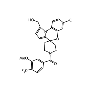 COc1cc(C(=O)N2CCC3(CC2)Oc2cc(Cl)ccc2-n2c(CO)ccc23)ccc1C(F)(F)F